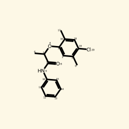 Cc1cc(OC(C)C(=O)Nc2ccccc2)c(C)cc1Cl